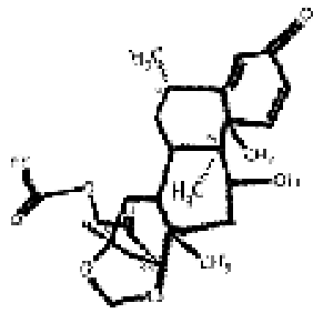 CCC(=O)OCC(=O)[C@@]12OCO[C@@H]1CC1C3C[C@H](C)C4=CC(=O)C=CC4(C)[C@@]3(C)C(O)CC12C